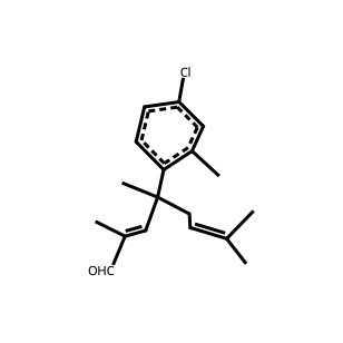 CC(C)=CCC(C)(/C=C(\C)C=O)c1ccc(Cl)cc1C